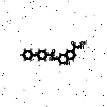 O=C(NO)c1ccc2c(c1)CC(NC(=O)c1ccc(-c3ccccc3)cc1)CN2